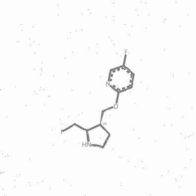 Fc1ccc(OC[C@H]2CCNC2CI)nc1